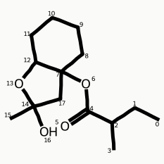 CCC(C)C(=O)OC12CCCCC1OC(C)(O)C2